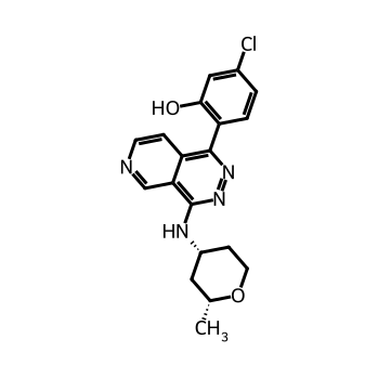 C[C@@H]1C[C@H](Nc2nnc(-c3ccc(Cl)cc3O)c3ccncc23)CCO1